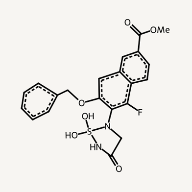 COC(=O)c1ccc2c(F)c(N3CC(=O)NS3(O)O)c(OCc3ccccc3)cc2c1